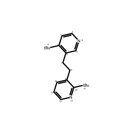 CC(C)(C)c1ccncc1CCc1cccnc1C(C)(C)C